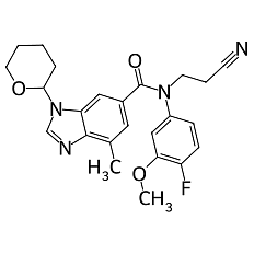 COc1cc(N(CCC#N)C(=O)c2cc(C)c3ncn(C4CCCCO4)c3c2)ccc1F